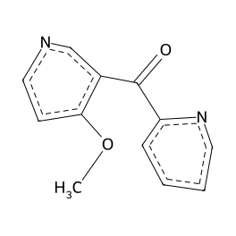 COc1ccncc1C(=O)c1ccccn1